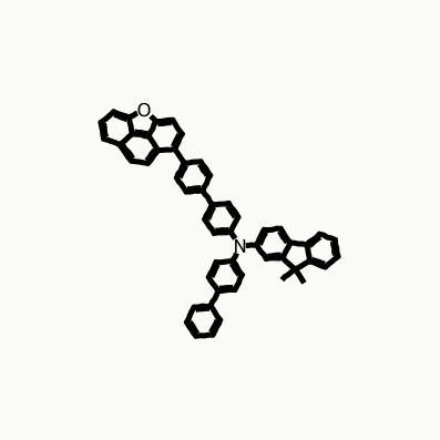 CC1(C)c2ccccc2-c2ccc(N(c3ccc(-c4ccccc4)cc3)c3ccc(-c4ccc(-c5ccc6oc7cccc8ccc5c6c87)cc4)cc3)cc21